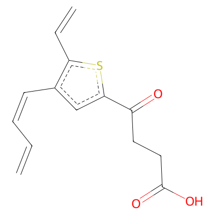 C=C/C=C\c1cc(C(=O)CCC(=O)O)sc1C=C